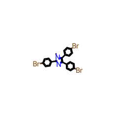 Cn1c(-c2ccc(Br)cc2)nc(-c2ccc(Br)cc2)c1-c1ccc(Br)cc1